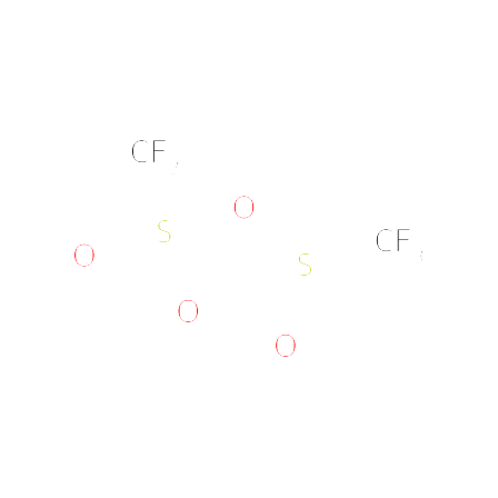 O=S(OS(=O)(=O)C(F)(F)F)C(F)(F)F